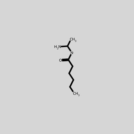 CCCCCC(=O)[N]C(C)N